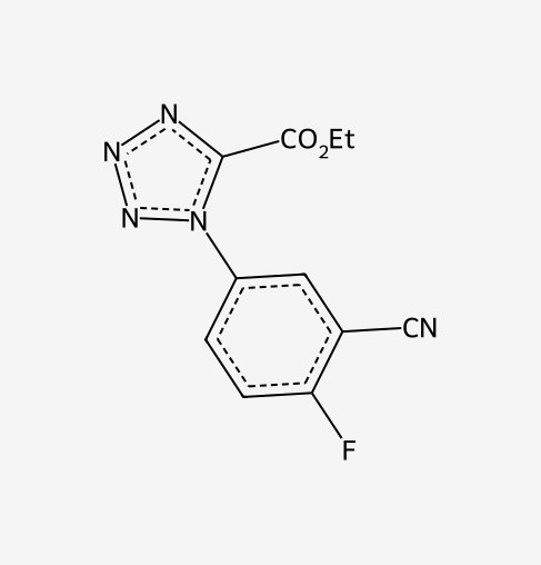 CCOC(=O)c1nnnn1-c1ccc(F)c(C#N)c1